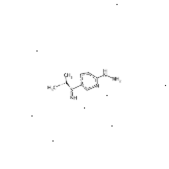 CC(C)[S@](=N)c1ccc(NN)nc1